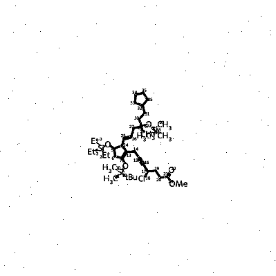 CC[Si](CC)(CC)OC1CC(O[Si](C)(C)C(C)(C)C)=C(CC#CC(Cl)CCC(=O)OC)C1/C=C/CC(C)(CCC1CCCC1)O[Si](C)(C)C